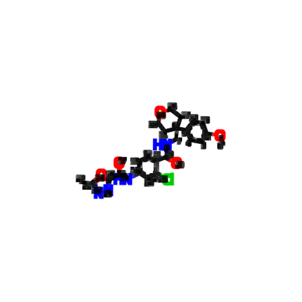 COc1ccc(C2(CNC(=O)c3ccc(NC(=O)c4nnc(C)o4)cc3Cl)CCOCC2)cc1